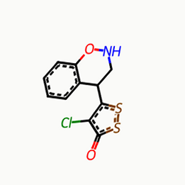 O=c1ssc(C2CNOc3ccccc32)c1Cl